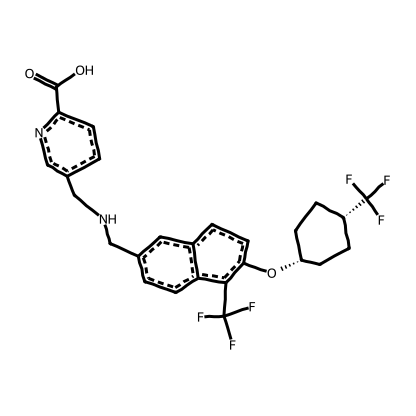 O=C(O)c1ccc(CNCc2ccc3c(C(F)(F)F)c(O[C@H]4CC[C@@H](C(F)(F)F)CC4)ccc3c2)cn1